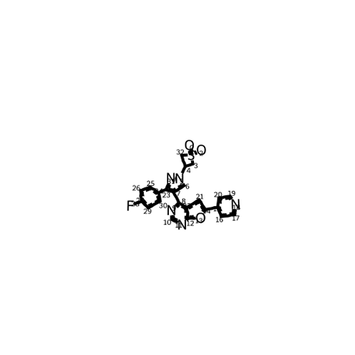 O=S1(=O)CC(n2cc(-c3ncnc4oc(-c5ccncc5)cc34)c(-c3ccc(F)cc3)n2)C1